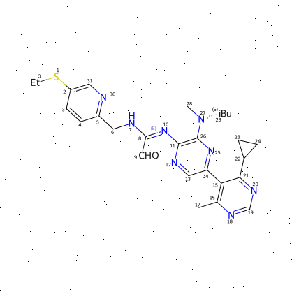 CCSc1ccc(CN/C(C=O)=N/c2ncc(-c3c(C)ncnc3C3CC3)nc2N(C)[C@@H](C)CC)nc1